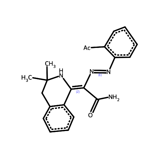 CC(=O)c1ccccc1/N=N/C(C(N)=O)=C1\NC(C)(C)Cc2ccccc21